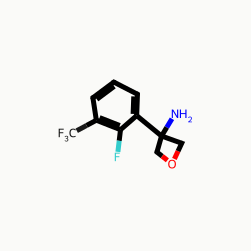 NC1(c2cccc(C(F)(F)F)c2F)COC1